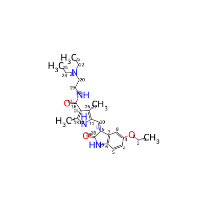 CCOc1ccc2c(c1)/C(=C/c1[nH]c(C)c(C(=O)NCCN(CC)CC)c1C)C(=O)N2